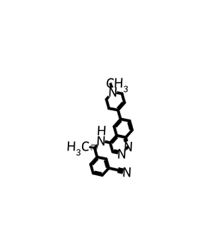 C[C@@H](Nc1cnnc2ccc(C3=CCN(C)CC3)cc12)c1cccc(C#N)c1